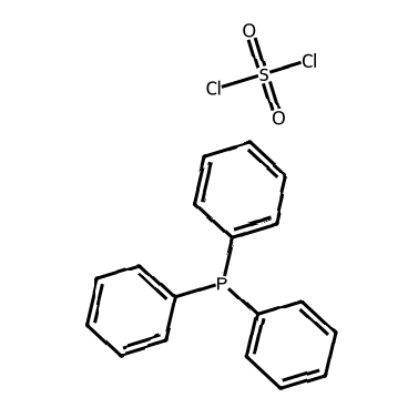 O=S(=O)(Cl)Cl.c1ccc(P(c2ccccc2)c2ccccc2)cc1